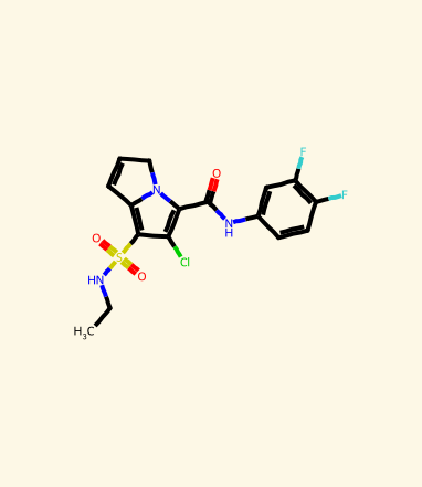 CCNS(=O)(=O)c1c(Cl)c(C(=O)Nc2ccc(F)c(F)c2)n2c1C=CC2